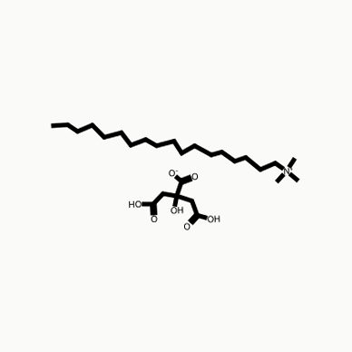 CCCCCCCCCCCCCCCCCC[N+](C)(C)C.O=C(O)CC(O)(CC(=O)O)C(=O)[O-]